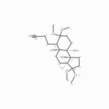 COC1(OC)CC[C@@H]2[C@H](CC[C@@]3(C)[C@H]2CCC3(OC)OC)C1CCC#N